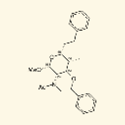 CO[C@@H]1O[C@H](CCc2ccccc2)[C@H](C)[C@H](OCc2ccccc2)[C@@H]1N(C)C(C)=O